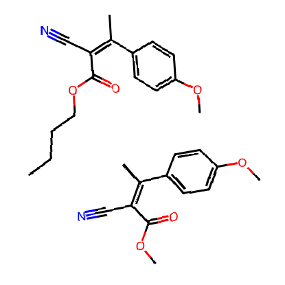 CCCCOC(=O)C(C#N)=C(C)c1ccc(OC)cc1.COC(=O)C(C#N)=C(C)c1ccc(OC)cc1